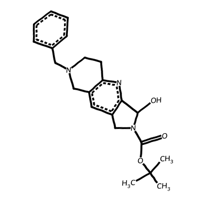 CC(C)(C)OC(=O)N1Cc2cc3c(nc2C1O)CCN(Cc1ccccc1)C3